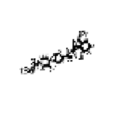 CC(C)c1nn(-c2noc(C3CCN(C4CCN(C(=O)OC(C)(C)C)CC4C)CC3)n2)c2c(F)cccc12